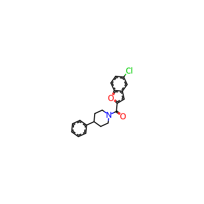 O=C(c1cc2cc(Cl)ccc2o1)N1CCC(c2ccccc2)CC1